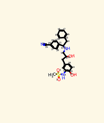 CS(=O)(=O)Nc1cc(CC(O)CNC(Cc2ccccc2)c2ccc(C#N)cc2)ccc1O